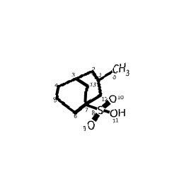 CC1CC2CCCC(S(=O)(=O)O)(C1)C2